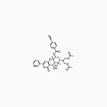 CC(=O)OCC(COC(C)=O)[C@@H]1C[C@H](OC(=O)c2ccc(C#N)cc2)[C@@]2(C)Oc3cc(-c4cccnc4)oc(=O)c3[C@H](O)[C@@H]2C1(C)C